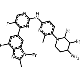 CCC1C(N)CCN(c2ccc(Nc3ncc(F)c(-c4cc(F)c5nc(C)n(C(C)C)c5c4)n3)nc2C)C1CC